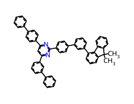 CC1(C)c2ccccc2-c2c(-c3cccc(-c4ccc(-c5nc(-c6ccc(-c7ccccc7)cc6)cc(-c6cccc(-c7ccccc7)c6)n5)cc4)c3)cccc21